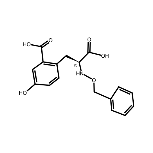 O=C(O)c1cc(O)ccc1C[C@H](NOCc1ccccc1)C(=O)O